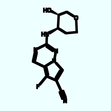 N#Cc1cn2nc(N[C@@H]3CCOC[C@H]3O)ncc2c1F